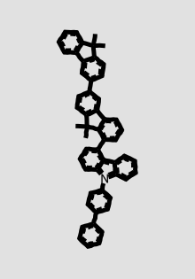 CC1(C)c2ccccc2-c2cc(-c3ccc4c(c3)-c3cccc(-c5cccc6c5c5ccccc5n6-c5ccc(-c6ccccc6)cc5)c3C4(C)C)ccc21